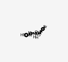 CC(C)(c1ccc(Br)cc1)c1csc(NC(=O)NCc2cnc(N3CCCNCC3)nc2)n1